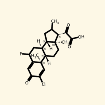 CC1C[C@H]2[C@@H]3CC(F)C4=CC(=O)C(Cl)=C[C@]4(C)[C@H]3CC[C@]2(C)[C@H]1C(=O)C(=O)O